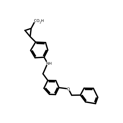 O=C(O)C1CC1c1ccc(NCc2cccc(OCc3ccccc3)c2)cc1